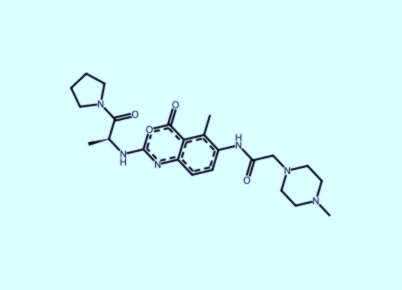 Cc1c(NC(=O)CN2CCN(C)CC2)ccc2nc(N[C@@H](C)C(=O)N3CCCC3)oc(=O)c12